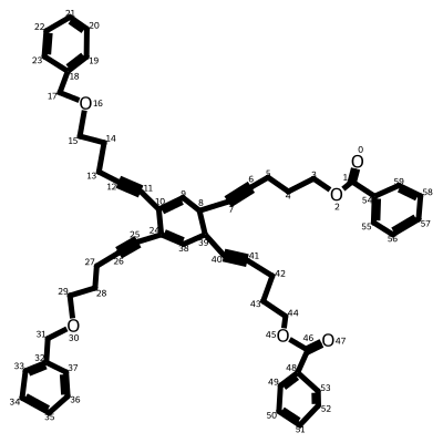 O=C(OCCCC#CC1C=C(C#CCCCOCc2ccccc2)C(C#CCCCOCc2ccccc2)=CC1C#CCCCOC(=O)c1ccccc1)c1ccccc1